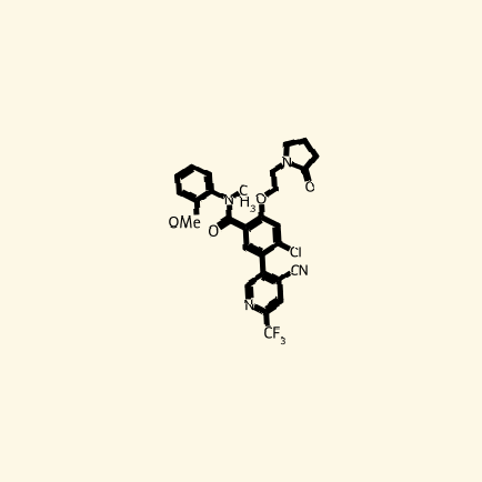 COc1ccccc1N(C)C(=O)c1cc(-c2cnc(C(F)(F)F)cc2C#N)c(Cl)cc1OCCN1CCCC1=O